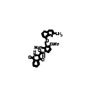 COc1ccc(NC(=O)C2NC(=O)c3ccccc3C2=O)c(SC)c1COc1cccc2ccc(C)nc12